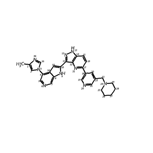 Cc1cn(-c2cncc3[nH]c(-c4n[nH]c5ccc(-c6cncc(CN7CCCCC7)c6)nc45)cc23)cn1